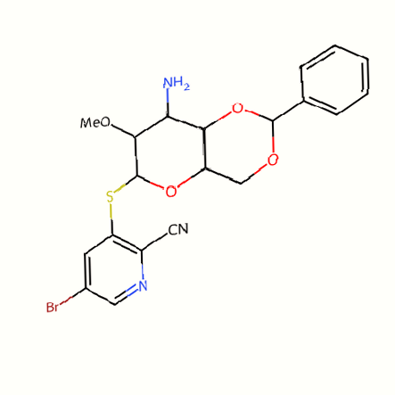 COC1C(Sc2cc(Br)cnc2C#N)OC2COC(c3ccccc3)OC2C1N